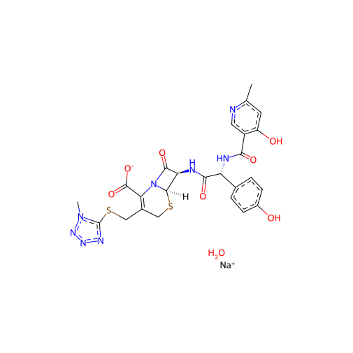 Cc1cc(O)c(C(=O)N[C@@H](C(=O)N[C@@H]2C(=O)N3C(C(=O)[O-])=C(CSc4nnnn4C)CS[C@H]23)c2ccc(O)cc2)cn1.O.[Na+]